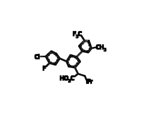 Cc1cc(-c2cc(-c3ccc(Cl)c(F)c3)cc(C(CC(C)C)C(=O)O)c2)cc(C(F)(F)F)c1